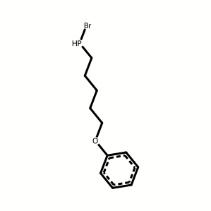 BrPCCCCCOc1ccccc1